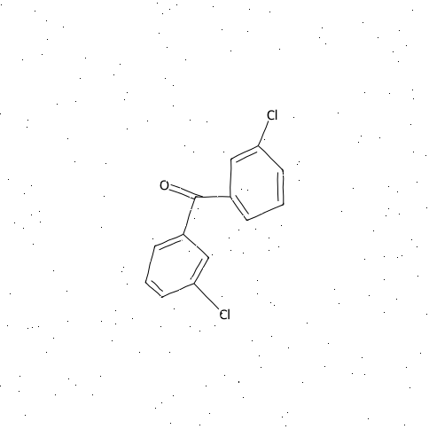 O=C(c1cccc(Cl)c1)c1cccc(Cl)c1